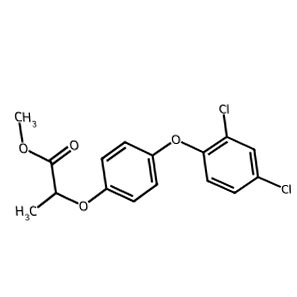 COC(=O)C(C)Oc1ccc(Oc2ccc(Cl)cc2Cl)cc1